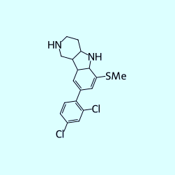 CSC1=CC(c2ccc(Cl)cc2Cl)=CC2C1NC1CCNCC12